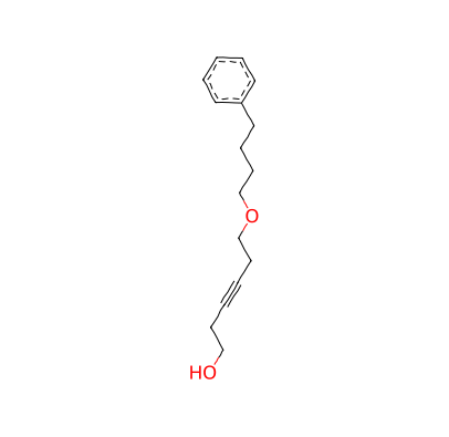 OCCC#CCCOCCCCc1ccccc1